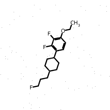 CCOc1ccc(C2CCC(CCCF)CC2)c(F)c1F